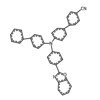 N#Cc1ccc(-c2ccc(N(c3ccc(-c4ccccc4)cc3)c3ccc(-c4nc5ccccc5o4)cc3)cc2)cc1